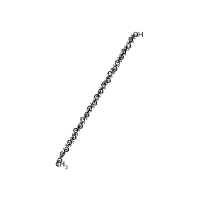 CCOCCOCCOCCOCCOCCOCCOCCOCCOCCOCCOCCOCCOCCOCCOCCOCCOCCOCCOCCOCCOCCOCCO